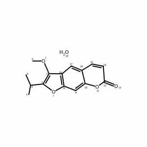 COc1c(C(C)C)oc2cc3oc(=O)ccc3cc12.O